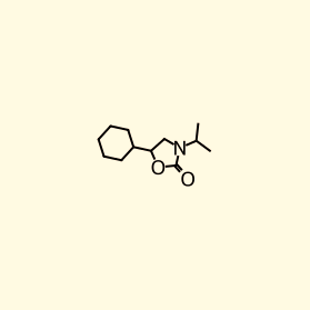 CC(C)N1CC(C2CCCCC2)OC1=O